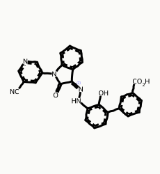 N#Cc1cncc(N2C(=O)/C(=N\Nc3cccc(-c4cccc(C(=O)O)c4)c3O)c3ccccc32)c1